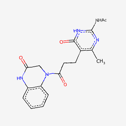 CC(=O)Nc1nc(C)c(CCC(=O)N2CC(=O)Nc3ccccc32)c(=O)[nH]1